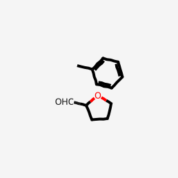 Cc1ccccc1.O=CC1CCCO1